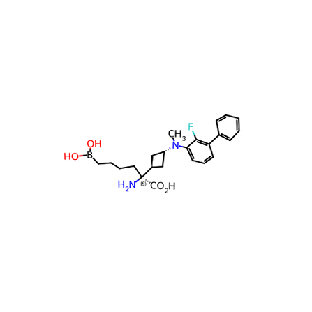 CN(c1cccc(-c2ccccc2)c1F)[C@H]1C[C@H]([C@@](N)(CCCCB(O)O)C(=O)O)C1